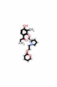 CCC(=O)c1ccc(O)c(C)c1OC[C@H]1CCCN1CCOC1CCCCO1